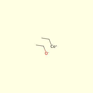 CC[O-].C[CH2][Co+]